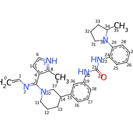 C=C/N=C(\c1cc[nH]c1C)N1CCCC(c2cccc(NC(=O)Nc3ccccc3N3CCCC3C)c2)C1